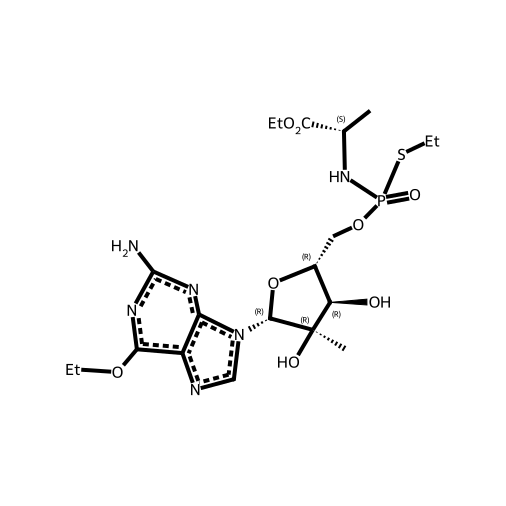 CCOC(=O)[C@H](C)NP(=O)(OC[C@H]1O[C@@H](n2cnc3c(OCC)nc(N)nc32)[C@](C)(O)[C@@H]1O)SCC